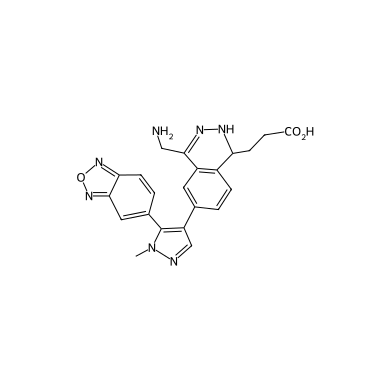 Cn1ncc(-c2ccc3c(c2)C(CN)=NNC3CCC(=O)O)c1-c1ccc2nonc2c1